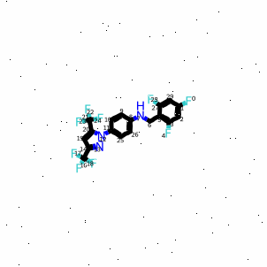 Fc1cc(F)c(CNc2ccc(-n3nc(C(F)(F)F)cc3C(F)(F)F)cc2)c(F)c1